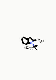 CCOC(=O)c1cc2ccccc2n1C(C)(C)C(=O)OCC